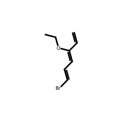 C=C/C(=C/C=C/Br)OCC